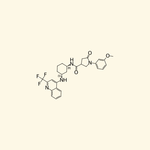 COc1cccc(N2CC(C(=O)N[C@@H]3CCC[C@H](Nc4cc(C(F)(F)F)nc5ccccc45)C3)CC2=O)c1